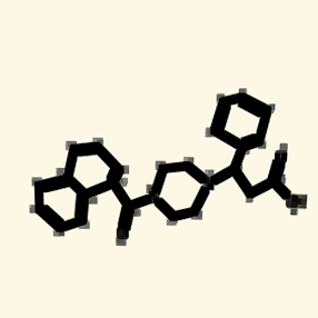 O=C(O)CC(c1ccccc1)N1CCN(C(=O)c2cccc3ccccc23)CC1